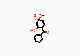 COC1(OC)C=CC(C(=O)c2ccccc2)C(O)=C1